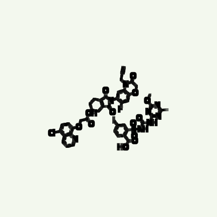 C#CCN1C(=O)COc2cc(F)c(N3C(=O)C4=C(CCCC4)C3=O)cc21.COc1nc(C)nc(NC(=O)NS(=O)(=O)c2cc(I)ccc2C(=O)O)n1.O=C(O)COc1ccc(Cl)c2cccnc12